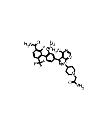 COc1cc(-c2nn(C3CCN(CC(N)=O)CC3)c3ncnc(N)c23)ccc1-c1c(C(F)(F)F)ccc(C(N)=O)c1F